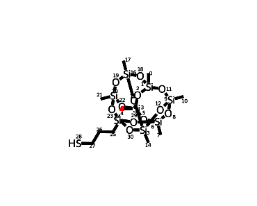 C[Si]12O[Si]3(C)O[Si]4(C)O[Si](C)(O1)O[Si]1(C)O[Si](C)(O2)O[Si](C)(O3)O[Si](CCCS)(O4)O1